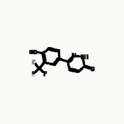 O=c1ccc(-c2ccc(O)c(C(F)(F)F)c2)n[nH]1